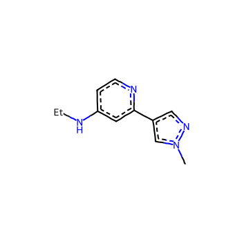 CCNc1ccnc(-c2cnn(C)c2)c1